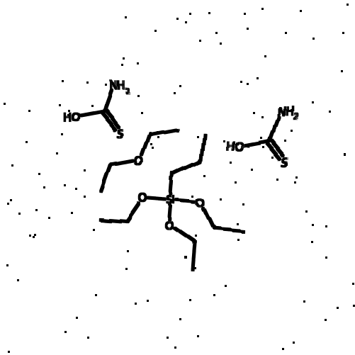 CCC[Si](OCC)(OCC)OCC.CCOCC.NC(O)=S.NC(O)=S